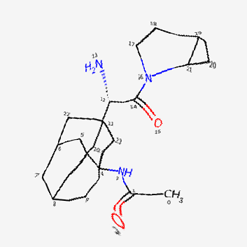 CC(=O)NC12CC3CC(C1)CC([C@H](N)C(=O)N1CCC4CC41)(C3)C2